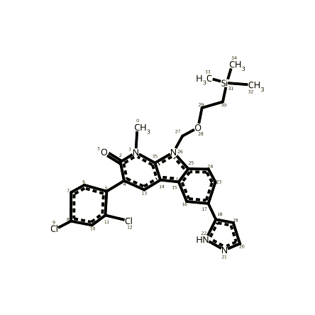 Cn1c(=O)c(-c2ccc(Cl)cc2Cl)cc2c3cc(-c4ccn[nH]4)ccc3n(COCC[Si](C)(C)C)c21